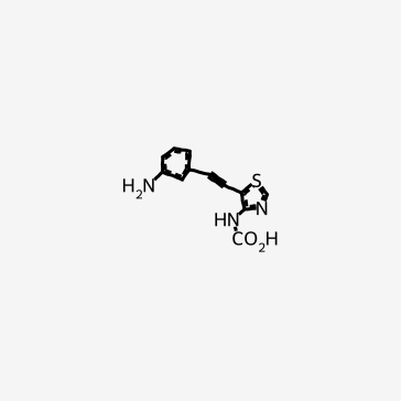 Nc1cccc(C#Cc2scnc2NC(=O)O)c1